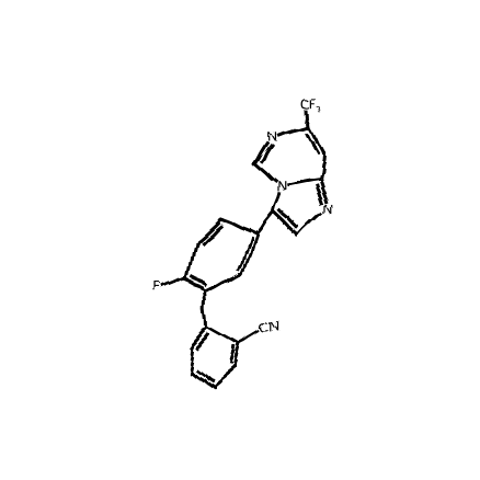 N#Cc1ccccc1-c1cc(-c2cnc3cc(C(F)(F)F)ncn23)ccc1F